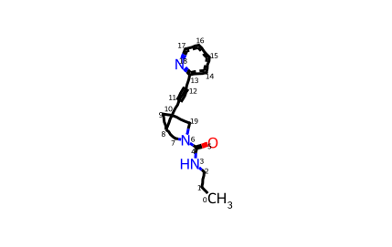 CCCNC(=O)N1CC2CC2(C#Cc2ccccn2)C1